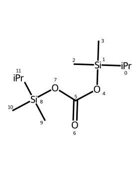 CC(C)[Si](C)(C)OC(=O)O[Si](C)(C)C(C)C